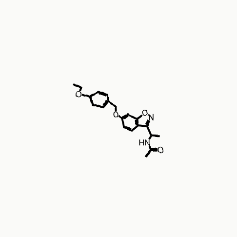 CCOC1C=CC(COc2ccc3c(C(C)NC(C)=O)noc3c2)=CC1